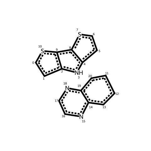 c1cc2[nH]c3ccsc3c2s1.c1ccc2nccnc2c1